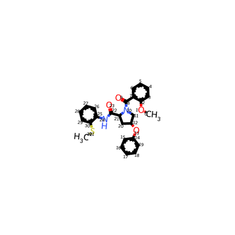 COc1ccccc1C(=O)N1CC(Oc2ccccc2)CC1C(=O)Nc1ccccc1SC